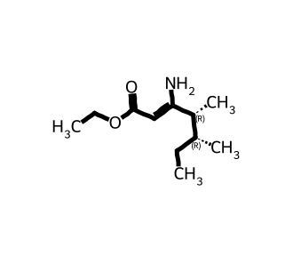 CCOC(=O)C=C(N)[C@H](C)[C@H](C)CC